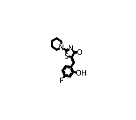 O=C1N=C(N2CCCCC2)S/C1=C\c1ccc(F)cc1O